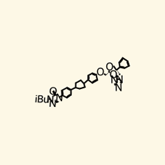 CCC(C)n1ncn(-c2ccc(C3CCC(c4ccc(OC[C@@H]5OC[C@@](Cn6cncn6)(c6ccccc6)O5)cc4)CC3)cc2)c1=O